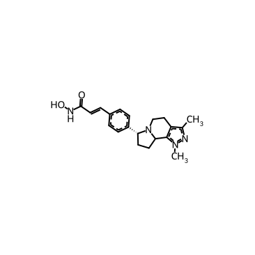 Cc1nn(C)c2c1CCN1C2CC[C@@H]1c1ccc(/C=C/C(=O)NO)cc1